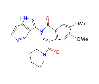 COc1cc2c(C(=O)N3CCCCC3)cn(-c3c[nH]c4ccncc34)c(=O)c2cc1OC